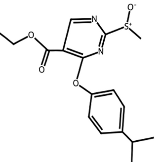 CCOC(=O)c1cnc([S+](C)[O-])nc1Oc1ccc(C(C)C)cc1